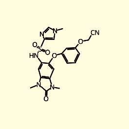 Cn1cnc(S(=O)(=O)Nc2cc3c(cc2Oc2cccc(OCC#N)c2)n(C)c(=O)n3C)c1